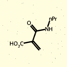 C=C(C(=O)O)C(=O)NCCC